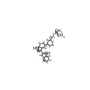 CN(C)CCOc1cccc(-c2ccc3[nH]nc(-c4cc5ncccc5[nH]4)c3c2)c1